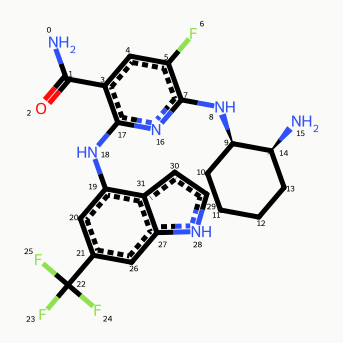 NC(=O)c1cc(F)c(N[C@@H]2CCCC[C@@H]2N)nc1Nc1cc(C(F)(F)F)cc2[nH]ccc12